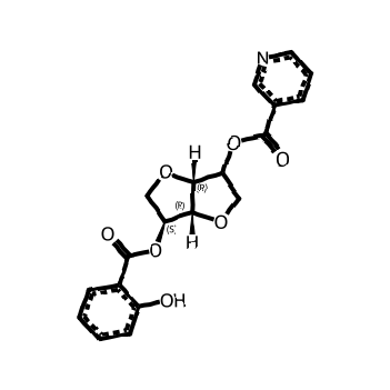 O=C(OC1CO[C@@H]2[C@@H](OC(=O)c3ccccc3O)CO[C@H]12)c1cccnc1